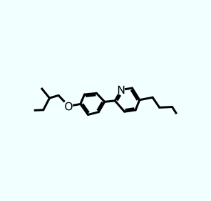 CCCCc1ccc(-c2ccc(OCC(C)CC)cc2)nc1